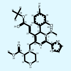 CBN1C(c2nccs2)=NC(CN2CCOC[C@H]2C(=O)OC)=C(/C=C/C(=O)OC(C)(C)C)C1c1ccc(F)cc1Cl